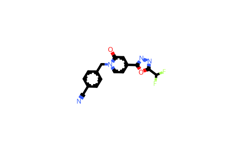 N#Cc1ccc(Cn2ccc(-c3nnc(C(F)F)o3)cc2=O)cc1